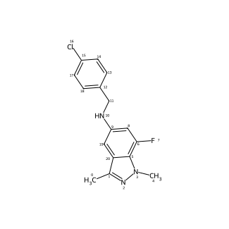 Cc1nn(C)c2c(F)cc(NCc3ccc(Cl)cc3)cc12